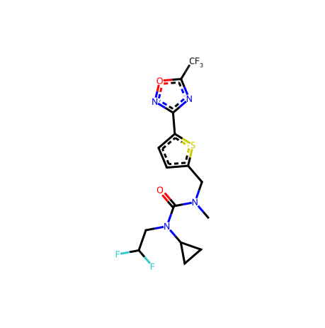 CN(Cc1ccc(-c2noc(C(F)(F)F)n2)s1)C(=O)N(CC(F)F)C1CC1